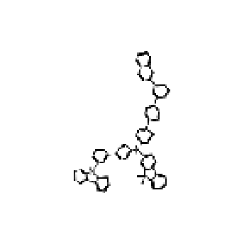 CC1(C)c2ccccc2-c2ccc(N(c3ccc(-c4ccc(-c5cccc(-c6ccc7ccccc7c6)c5)cc4)cc3)c3ccc(-c4cccc(-n5c6ccccc6c6ccccc65)c4)cc3)cc21